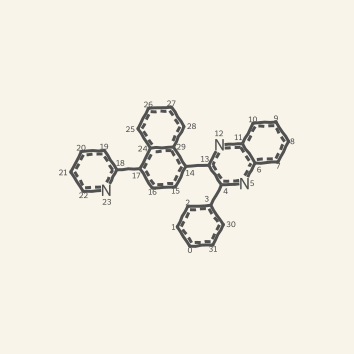 c1ccc(-c2nc3ccccc3nc2-c2ccc(-c3ccccn3)c3ccccc23)cc1